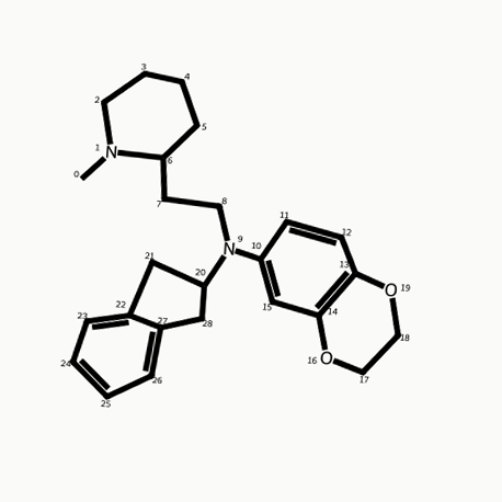 CN1CCCCC1CCN(c1ccc2c(c1)OCCO2)C1Cc2ccccc2C1